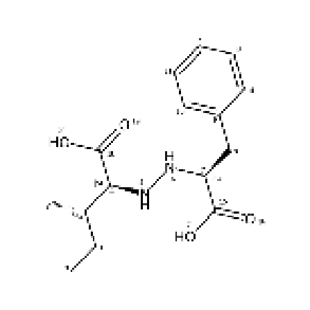 CC[C@H](C)[C@H](NN[C@@H](Cc1ccccc1)C(=O)O)C(=O)O